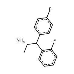 CCC(c1ccc(F)cc1)c1ccccc1F.N